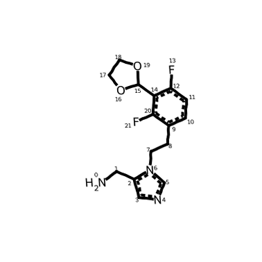 NCc1cncn1CCc1ccc(F)c(C2OCCO2)c1F